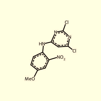 COc1ccc(Nc2cc(Cl)nc(Cl)n2)c([N+](=O)[O-])c1